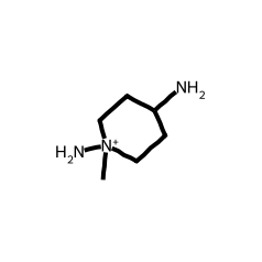 C[N+]1(N)CCC(N)CC1